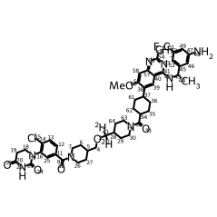 [2H]C([2H])(OCC1CCN(C(=O)c2ccc(Cl)c(N3CCC(=O)NC3=O)c2)CC1)C1CCN(C(=O)C2CCC(c3cc4c(N[C@H](C)c5cc(N)cc(C(F)(F)F)c5)nc(C)nc4cc3OC)CC2)CC1